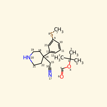 CC(C)(C)OC=O.CSc1cccc(C2(CC#N)CCNCC2)c1